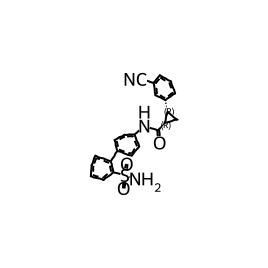 N#Cc1cccc([C@@H]2C[C@H]2C(=O)Nc2ccc(-c3ccccc3S(N)(=O)=O)cc2)c1